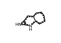 c1ccc2cc3[nH]c=3[nH]c-2cc1